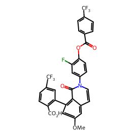 COc1cc(-c2cc(C(F)(F)F)ccc2C(=O)O)c2c(=O)n(-c3ccc(OC(=O)c4ccc(C(F)(F)F)cc4)c(F)c3)ccc2c1